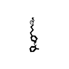 CSOCCCCc1ccc(Cc2ccccc2C)cc1